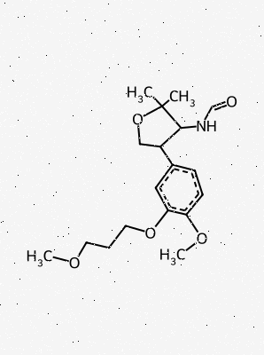 COCCCOc1cc(C2COC(C)(C)C2NC=O)ccc1OC